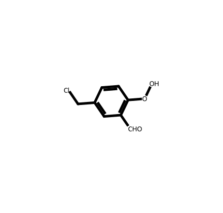 O=Cc1cc(CCl)ccc1OO